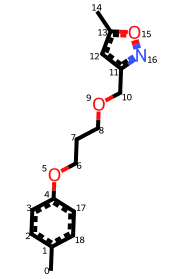 Cc1ccc(OCCCOCc2cc(C)on2)cc1